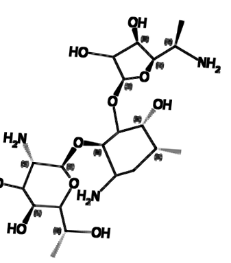 C[C@@H]1CC(N)[C@@H](O[C@H]2OC([C@@H](C)O)[C@@H](O)C(O)[C@@H]2N)C(O[C@@H]2O[C@H]([C@@H](C)N)[C@H](O)C2O)[C@@H]1O